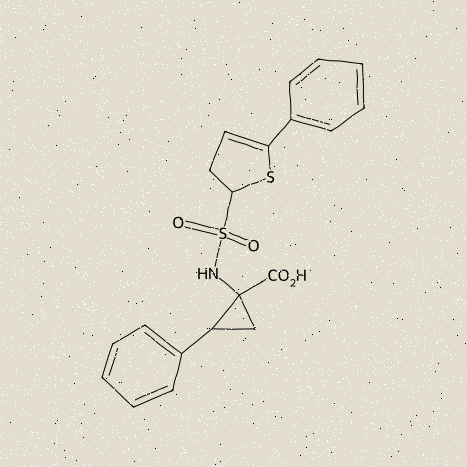 O=C(O)C1(NS(=O)(=O)C2CC=C(c3ccccc3)S2)CC1c1ccccc1